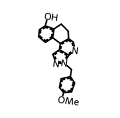 COc1ccc(Cn2ncc3c4c(cnc32)CCc2c(O)cccc2-4)cc1